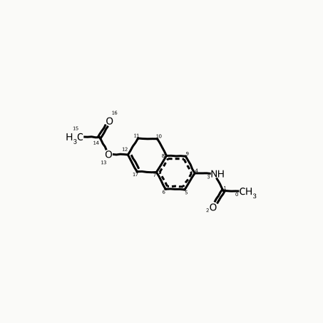 CC(=O)Nc1ccc2c(c1)CCC(OC(C)=O)=C2